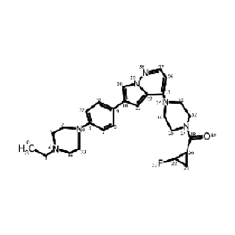 CCN1CCN(c2ccc(-c3cc4c(N5CCN(C(=O)[C@H]6CC6F)CC5)ccnn4c3)cc2)CC1